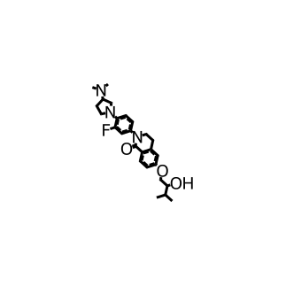 CC(C)C(O)COc1ccc2c(c1)CCN(c1ccc(N3CCC(N(C)C)C3)c(F)c1)C2=O